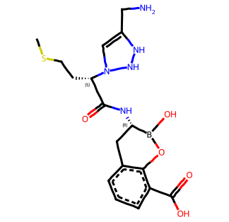 CSCC[C@@H](C(=O)N[C@H]1Cc2cccc(C(=O)O)c2OB1O)N1C=C(CN)NN1